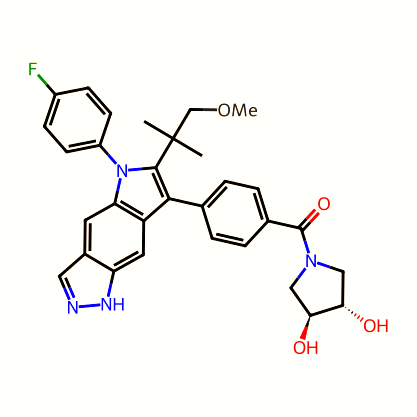 COCC(C)(C)c1c(-c2ccc(C(=O)N3C[C@H](O)[C@@H](O)C3)cc2)c2cc3[nH]ncc3cc2n1-c1ccc(F)cc1